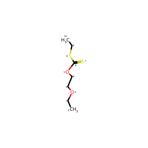 CCOCCOC(=S)SCC